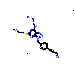 CCCSc1nc(NCCN)c2nnn(Cc3ccc(C#CCN)cc3)c2n1